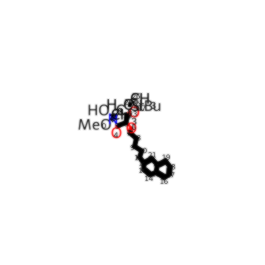 CON(C)C(=O)[C@H](OCCCCCc1ccc2ccccc2c1)[C@@H](O[Si](C)(C)C(C)(C)C)C(=O)O